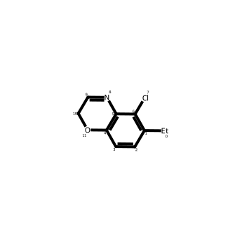 CCc1ccc2c(c1Cl)N=CCO2